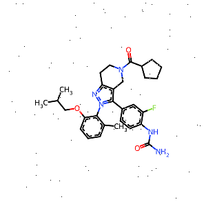 Cc1cccc(OCC(C)C)c1-n1nc2c(c1-c1ccc(NC(N)=O)c(F)c1)CN(C(=O)C1CCCC1)CC2